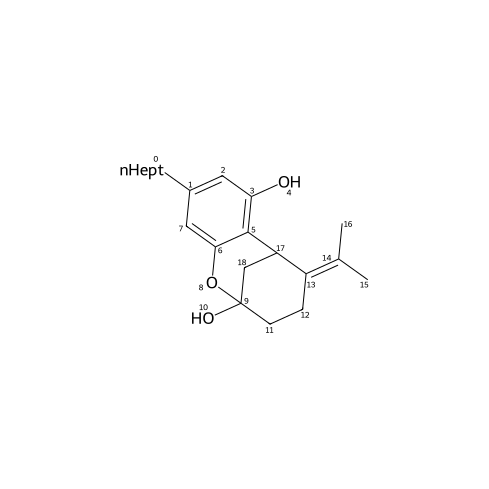 CCCCCCCc1cc(O)c2c(c1)OC1(O)CCC(=C(C)C)C2C1